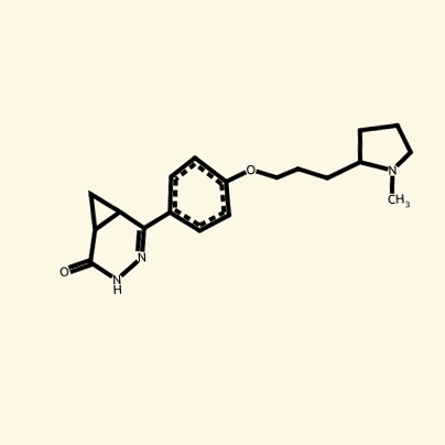 CN1CCCC1CCCOc1ccc(C2=NNC(=O)C3CC23)cc1